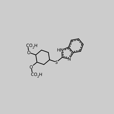 O=C(O)OC1CCC(Sc2nc3ccccc3[nH]2)CC1OC(=O)O